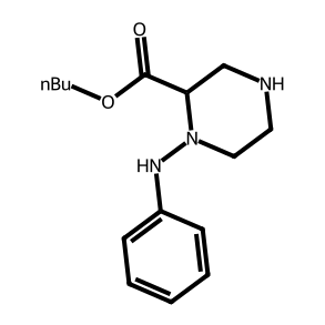 CCCCOC(=O)C1CNCCN1Nc1ccccc1